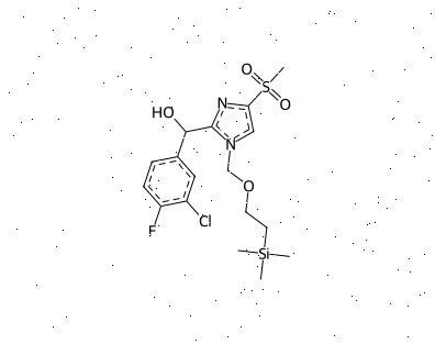 C[Si](C)(C)CCOCn1cc(S(C)(=O)=O)nc1C(O)c1ccc(F)c(Cl)c1